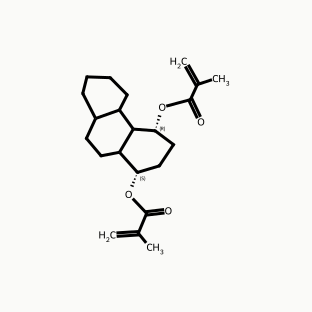 C=C(C)C(=O)O[C@H]1CC[C@@H](OC(=O)C(=C)C)C2C3CCCCC3CCC21